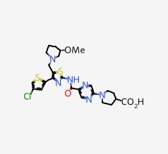 CO[C@@H]1CCCN(Cc2sc(NC(=O)c3cnc(N4CCC(C(=O)O)CC4)cn3)nc2-c2cc(Cl)cs2)C1